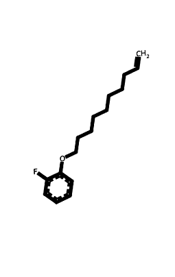 C=CCCCCCCCCOc1cc[c]cc1F